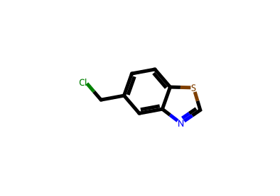 ClCc1ccc2scnc2c1